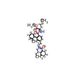 CCCCN(CCc1ccc(C(=O)N[C@@H](CCSC)C(=O)OC)c(-c2ccccc2C)c1)C(=O)C1CCCCC1